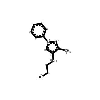 Cc1nn(-c2ccccc2)cc1NCCO